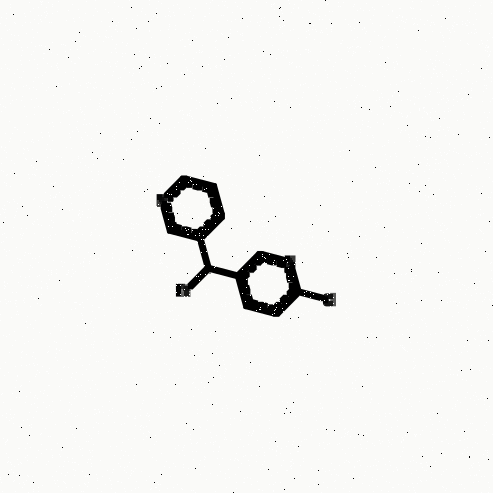 CC[C](c1cccnc1)c1ccc(Cl)nc1